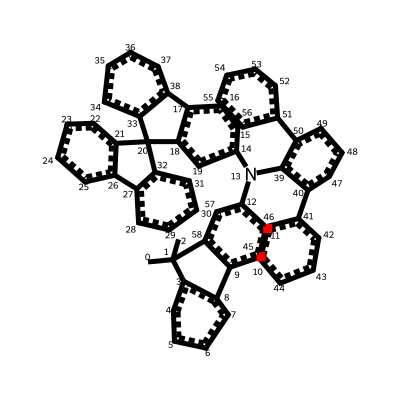 CC1(C)c2ccccc2-c2ccc(N(c3ccc4c(c3)C3(c5ccccc5-c5ccccc53)c3ccccc3-4)c3c(-c4ccccc4)cccc3-c3ccccc3)cc21